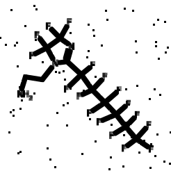 NCCN1C(C(F)(F)C(F)(F)C(F)(F)C(F)(F)C(F)(F)C(F)(F)F)=NC(F)(F)C1(F)F